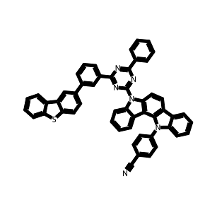 N#Cc1ccc(-n2c3ccccc3c3ccc4c(c5ccccc5n4-c4nc(-c5ccccc5)nc(-c5cccc(-c6ccc7sc8ccccc8c7c6)c5)n4)c32)cc1